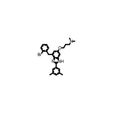 Cc1cc(C)cc(-c2nc3c(Cc4ccccc4Br)cc(OCCCN(C)C)cc3[nH]2)c1